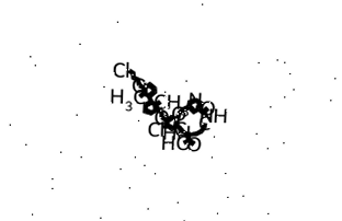 Cc1c(COc2cc3c(cc2Cl)CNC(C(=O)O)CCCCNC(=O)c2cncc(c2)CO3)cccc1-c1cccc(OCCCCl)c1C